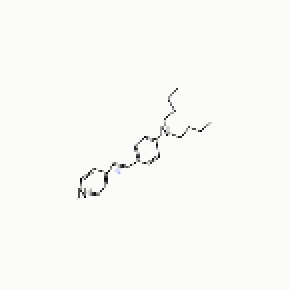 CCCCN(CCCC)c1ccc(/C=C/c2cc[n+](C)cc2)cc1